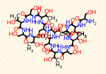 CC(O)C(NC(=O)C(CO)NC(=O)C(NC(=O)C(CO)NC(=O)C(NC(=O)C(CO)NC(=O)C(NC(=O)C(CO)NC(=O)C(NC(=O)C(CO)NC(=O)C(NC(=O)C(CO)NC(=O)C(NC(=O)C(N)CO)C(C)O)C(C)O)C(C)O)C(C)O)C(C)O)C(C)O)C(=O)O